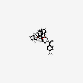 Cc1ccc(C(=O)N2CCC(CCN3[C@@H]4CC[C@H]3C[C@@H](n3c(C)nc5ccccc53)C4)(c3ccccc3)CC2)cc1